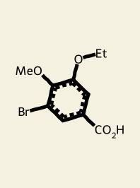 CCOc1cc(C(=O)O)cc(Br)c1OC